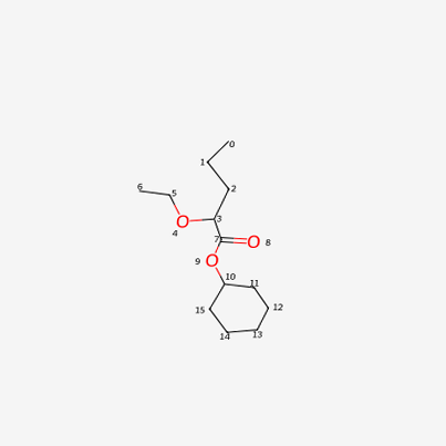 CCCC(OCC)C(=O)OC1CCCCC1